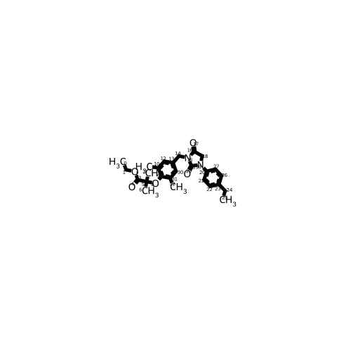 CCOC(=O)C(C)(C)Oc1c(C)cc(CN2C(=O)CN(c3ccc(CC)cc3)C2=O)cc1C